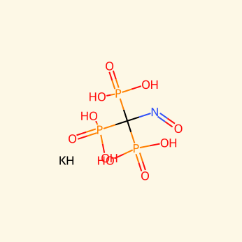 O=NC(P(=O)(O)O)(P(=O)(O)O)P(=O)(O)O.[KH]